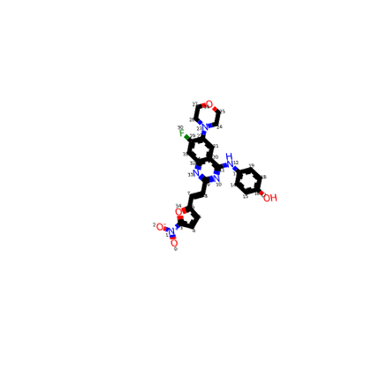 O=[N+]([O-])c1ccc(C=Cc2nc(Nc3ccc(O)cc3)c3cc(N4CCOCC4)c(F)cc3n2)o1